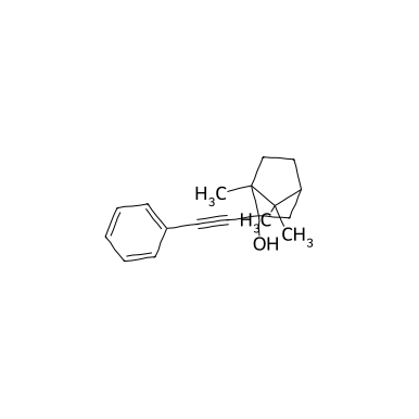 CC1(C)C2CCC1(C)C(O)(C#Cc1ccccc1)C2